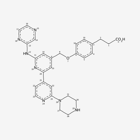 O=C(O)CCc1ccc(OCc2cc(Nc3cnccn3)nc(-c3ccnc(N4CCNCC4)c3)c2)cc1